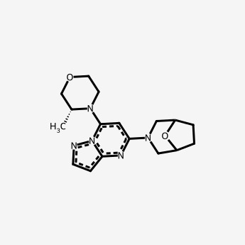 C[C@@H]1COCCN1c1cc(N2CC3CCC(C2)O3)nc2ccnn12